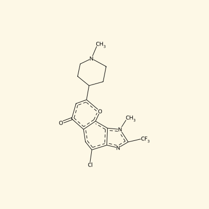 CN1CCC(c2cc(=O)c3cc(Cl)c4nc(C(F)(F)F)n(C)c4c3o2)CC1